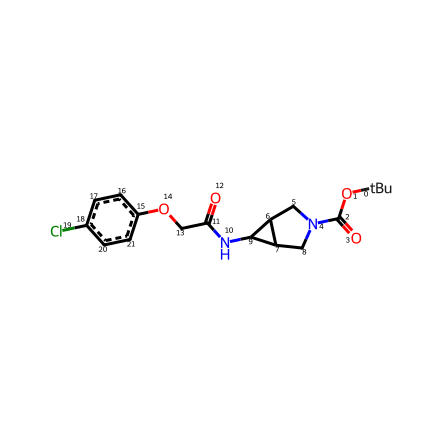 CC(C)(C)OC(=O)N1CC2C(C1)C2NC(=O)COc1ccc(Cl)cc1